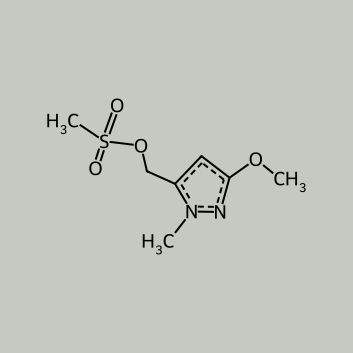 COc1cc(COS(C)(=O)=O)n(C)n1